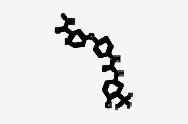 CNC(=O)c1cc(Oc2ccc(NC(=S)Nc3ccc(Cl)c(C(F)(F)F)c3)cc2)ccn1